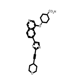 O=C(O)[C@H]1CC[C@@H](Oc2cncc3ccc(-c4cnc(C#CC5CCOCC5)s4)cc23)CC1